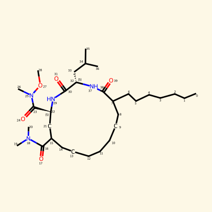 CCCCCCCC1CCCCCCCC(C(=O)N(C)C)C[C@@H](C(=O)N(C)OC)NC(=O)[C@H](CC(C)C)NC1=O